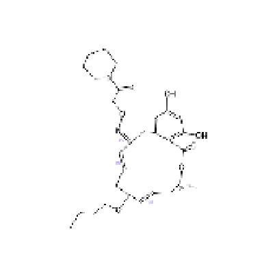 CCCCOC1/C=C/C[C@@H](C)OC(=O)c2c(O)cc(O)cc2CC(=N\OCC(=O)N2CCCCC2)/C=C/C1